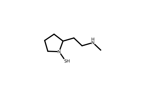 CNCCC1CCCN1S